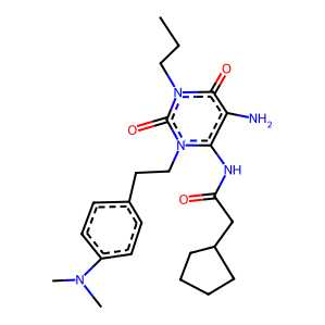 CCCn1c(=O)c(N)c(NC(=O)CC2CCCC2)n(CCc2ccc(N(C)C)cc2)c1=O